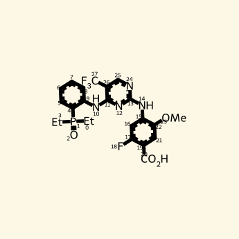 CCP(=O)(CC)c1ccccc1Nc1nc(Nc2cc(F)c(C(=O)O)cc2OC)ncc1C(F)(F)F